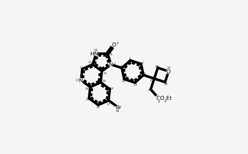 CCOC(=O)CC1(c2ccc(-n3c(=O)[nH]c4cnc5ccc(Br)cc5c43)cc2)COC1